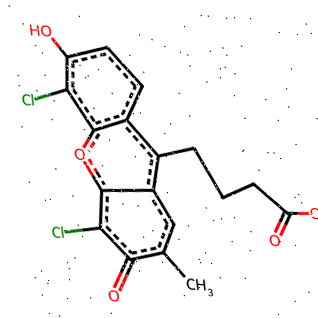 Cc1cc2c(CCCC(=O)O)c3ccc(O)c(Cl)c3oc-2c(Cl)c1=O